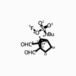 CCCCS(=O)(=O)OF.O=CC1=CC2CCC1(C=O)C2